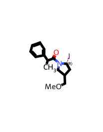 COCC1C[C@@H](I)N(C(=O)C(C)c2ccccc2)C1